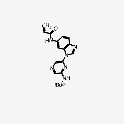 C=CC(=O)Nc1ccc2ncn(-c3cncc(N[C@@H](C)CC)n3)c2c1